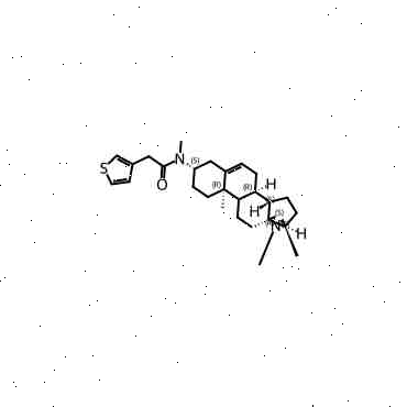 C[C@H]1[C@H]2CC[C@H]3[C@@H]4CC=C5C[C@@H](N(C)C(=O)Cc6ccsc6)CC[C@]5(C)C4CC[C@]23CN1C